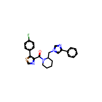 O=C(c1ncsc1-c1ccc(F)cc1)N1CCCCC1Cn1cnc(-c2ccccc2)c1